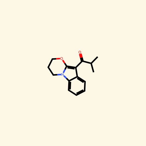 CC(C)C(=O)c1c2n(c3ccccc13)CCCO2